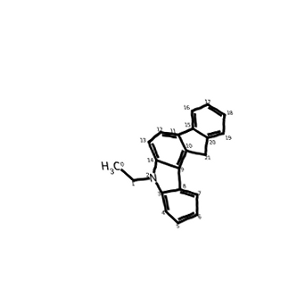 CCn1c2ccccc2c2c3c(ccc21)-c1ccccc1C3